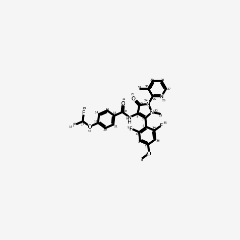 COc1cc(F)c(-c2c(NC(=O)c3ccc(OC(F)F)cc3)c(=O)n(-c3ncccc3C)n2C)c(F)c1